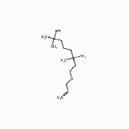 C=CCOCCC(C)(C)CCCC(C)(C)CCC